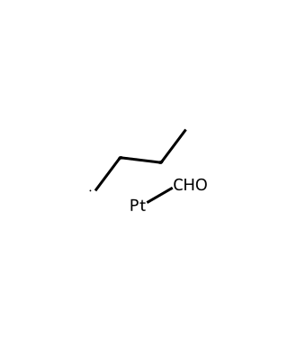 O=[CH][Pt].[CH2]CCC